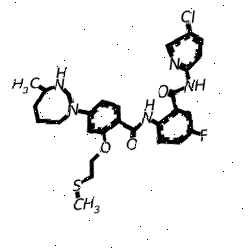 CSCCOc1cc(N2CCCC(C)NC2)ccc1C(=O)Nc1ccc(F)cc1C(=O)Nc1ccc(Cl)cn1